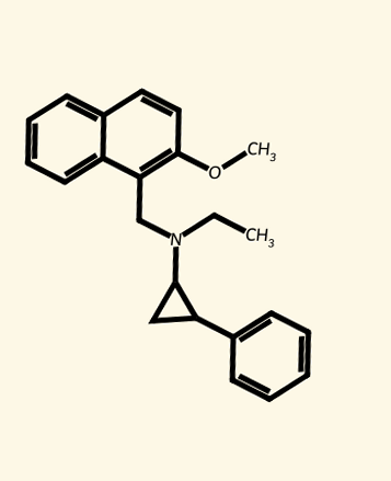 CCN(Cc1c(OC)ccc2ccccc12)C1CC1c1ccccc1